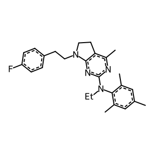 CCN(c1nc(C)c2c(n1)N(CCc1ccc(F)cc1)CC2)c1c(C)cc(C)cc1C